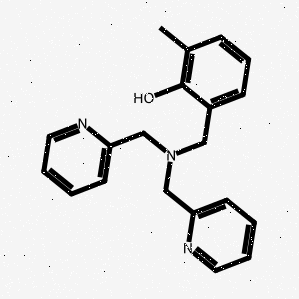 Cc1cccc(CN(Cc2ccccn2)Cc2ccccn2)c1O